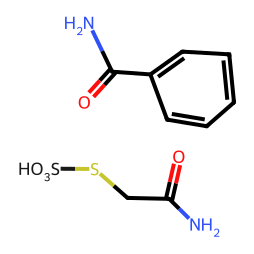 NC(=O)CSS(=O)(=O)O.NC(=O)c1ccccc1